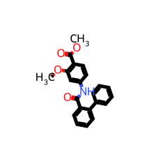 COC(=O)c1ccc(NC(=O)c2ccccc2-c2ccccc2)cc1OC